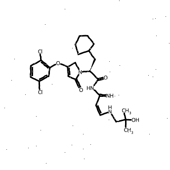 CC(C)(O)CN/C=C\C(=N)NC(=O)[C@H](CC1CCCCC1)N1CC(Oc2cc(Cl)ccc2Cl)=CC1=O